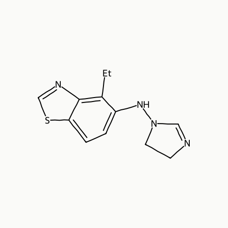 CCc1c(NN2C=NCC2)ccc2scnc12